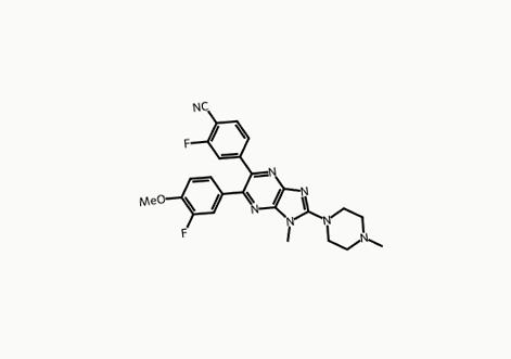 COc1ccc(-c2nc3c(nc2-c2ccc(C#N)c(F)c2)nc(N2CCN(C)CC2)n3C)cc1F